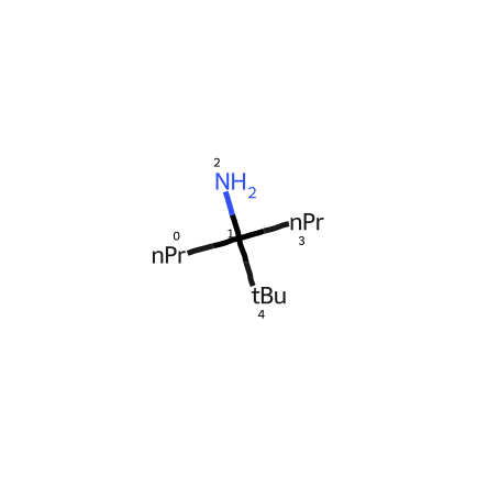 CCCC(N)(CCC)C(C)(C)C